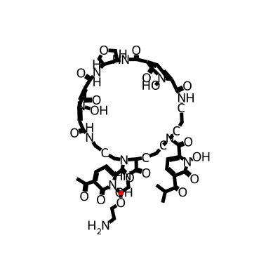 CC(=O)c1ccc(C(=O)N2CCCNC(=O)c3ccc(c(=O)n3O)C(=O)N[C@H]3COC[C@H]3NC(=O)c3ccc(n(O)c3=O)C(=O)NCCCN(C(=O)c3ccc(C(=O)C(C)C)c(=O)n3O)CCCC2C(=O)NCCOCCN)n(O)c1=O